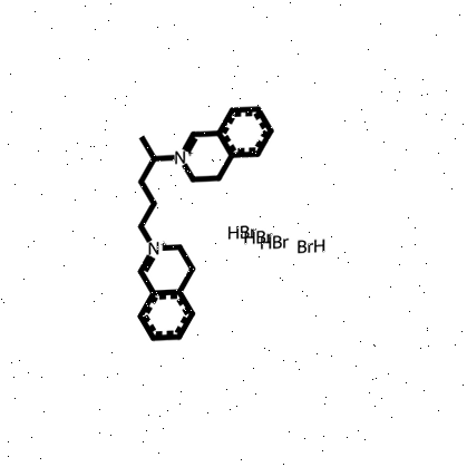 Br.Br.Br.Br.CC(CCC[N+]1=Cc2ccccc2CC1)[N+]1=Cc2ccccc2CC1